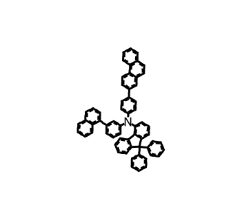 c1ccc(C2(c3ccccc3)c3ccccc3-c3c(N(c4ccc(-c5ccc6c(ccc7ccccc76)c5)cc4)c4cccc(-c5cccc6ccccc56)c4)cccc32)cc1